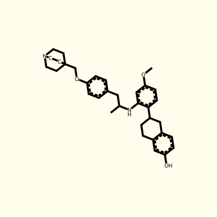 COc1ccc(C2CCc3cc(O)ccc3C2)c(NC(C)Cc2ccc(OCC34CCN(CC3)CC4)cc2)c1